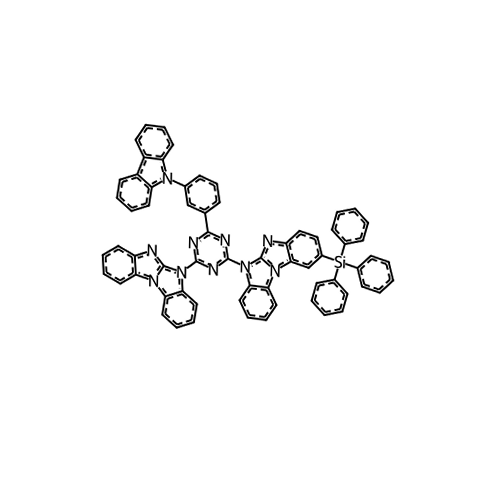 c1ccc([Si](c2ccccc2)(c2ccccc2)c2ccc3nc4n(-c5nc(-c6cccc(-n7c8ccccc8c8ccccc87)c6)nc(-n6c7ccccc7n7c8ccccc8nc67)n5)c5ccccc5n4c3c2)cc1